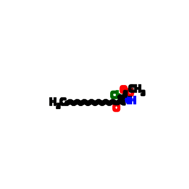 CCCCCCCCCCCCCCCC(=O)c1c[nH]c(C(=O)OC)c1Cl